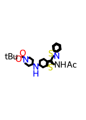 CC(=O)Nc1sc2c(c1-c1nc3ccccc3s1)CCC(NC1CCN(C(=O)OC(C)(C)C)CC1)C2